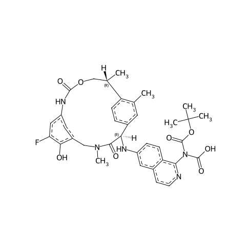 Cc1cc2ccc1[C@@H](C)COC(=O)Nc1cc(F)c(O)c(c1)CN(C)C(=O)[C@@H]2Nc1ccc2c(N(C(=O)O)C(=O)OC(C)(C)C)nccc2c1